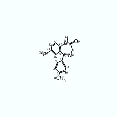 Cc1ccc(C2=NCC(=O)Nc3ccc([18F])cc32)cc1